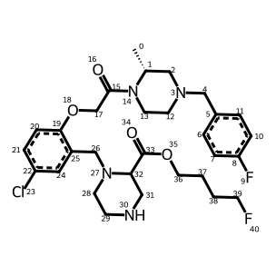 C[C@@H]1CN(Cc2ccc(F)cc2)CCN1C(=O)COc1ccc(Cl)cc1CN1CCNCC1C(=O)OCCCCF